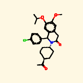 COc1cc2c(cc1OC(C)C)C(c1ccc(Cl)cc1)N([C@H]1CC[C@H](C(C)=O)CC1)C(=O)C2